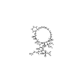 C=C[C@@H]1C[C@]1(NC(=O)[C@@H]1C[C@@H]2CN1C(=O)[C@H](C(C)(C)C)NC(=O)OCCCCCCCC1CCCCC1OC(=O)N2)C(=O)NS(=O)(=O)C1CC1